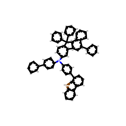 c1ccc(-c2ccc(N(c3ccc(-c4cccc5c4sc4ccccc45)cc3)c3ccc4c(c3)-c3cc(-c5ccccc5)c5ccccc5c3C4(c3ccccc3)c3ccccc3)cc2)cc1